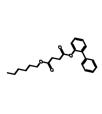 CCCCCCOC(=O)CCC(=O)Oc1ccccc1-c1ccccc1